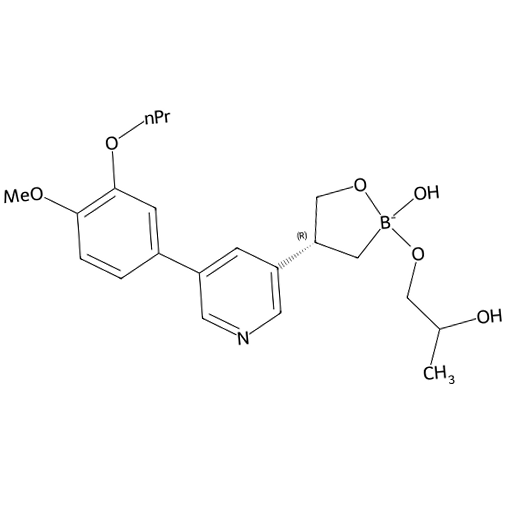 CCCOc1cc(-c2cncc([C@@H]3CO[B-](O)(OCC(C)O)C3)c2)ccc1OC